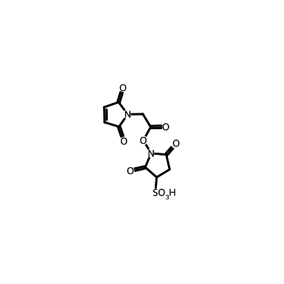 O=C(CN1C(=O)C=CC1=O)ON1C(=O)CC(S(=O)(=O)O)C1=O